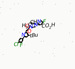 CC(C)(C)c1cc(-c2ccc(Cl)c(F)c2)nc2cc(C(=O)N3CCN(c4cc(C(=O)O)c(F)cn4)CC3(C)C)oc12